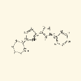 [c]1cn(C2CCCCO2)nc1-c1ccn(-c2ccccc2)n1